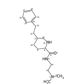 CN(C)CCNC(=O)C1CCC(CCc2ccccc2)CN1